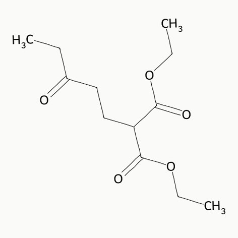 CCOC(=O)C(CCC(=O)CC)C(=O)OCC